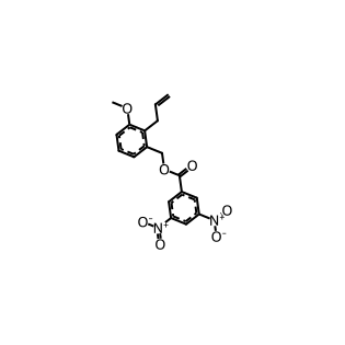 C=CCc1c(COC(=O)c2cc([N+](=O)[O-])cc([N+](=O)[O-])c2)cccc1OC